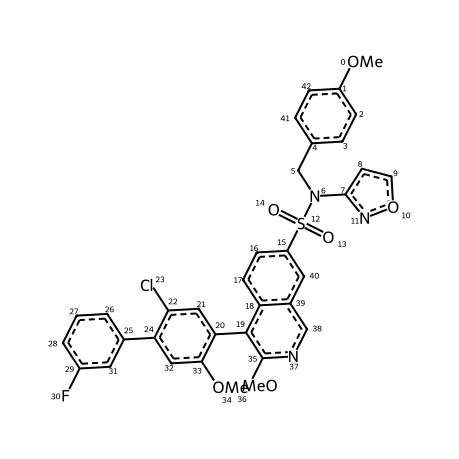 COc1ccc(CN(c2ccon2)S(=O)(=O)c2ccc3c(-c4cc(Cl)c(-c5cccc(F)c5)cc4OC)c(OC)ncc3c2)cc1